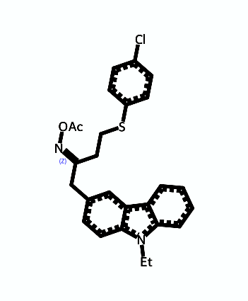 CCn1c2ccccc2c2cc(C/C(CCSc3ccc(Cl)cc3)=N/OC(C)=O)ccc21